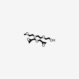 C(OCC1CO1)C1CO1.COCCOCCOCCO